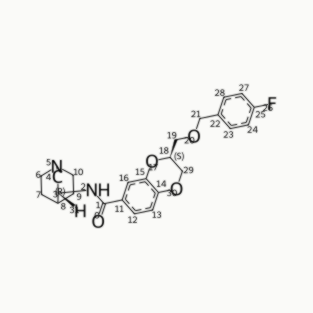 O=C(N[C@H]1CN2CCC1CC2)c1ccc2c(c1)O[C@@H](COCc1ccc(F)cc1)CO2